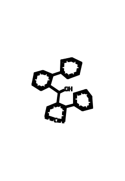 OC(c1ccccc1-c1ccccc1)c1ccccc1-c1ccccc1